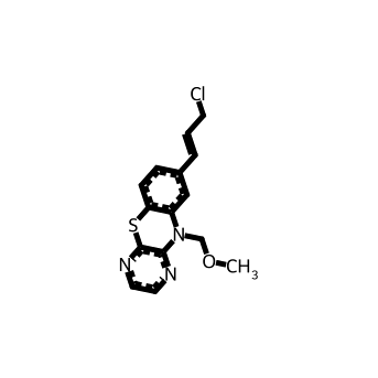 COCN1c2cc(/C=C/CCl)ccc2Sc2nccnc21